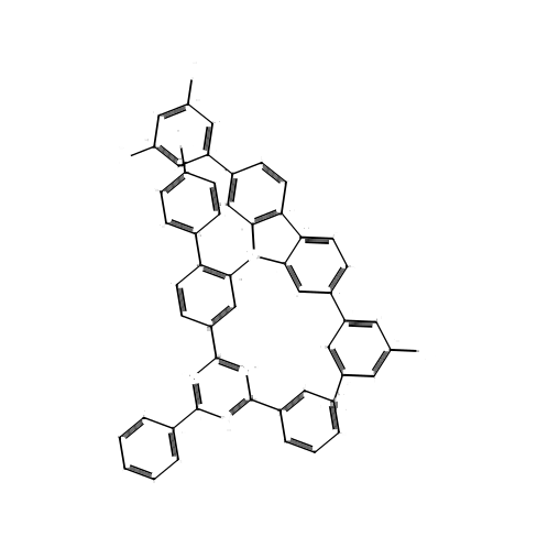 FC(F)(F)c1ccc(-c2ccc(-c3nc(-c4ccccc4)nc(-c4ccccc4)n3)cc2-n2c3cc(-c4cc(C(F)(F)F)cc(C(F)(F)F)c4)ccc3c3ccc(-c4cc(C(F)(F)F)cc(C(F)(F)F)c4)cc32)cc1